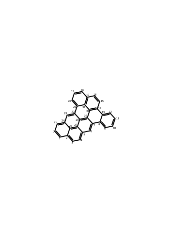 c1cc2ccc3cc4c5ccccc5c5ccc6cccc7c8cc(c1)c2c3c8c4c5c67